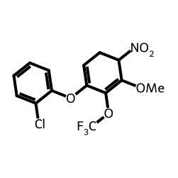 COC1=C(OC(F)(F)F)C(Oc2ccccc2Cl)=CCC1[N+](=O)[O-]